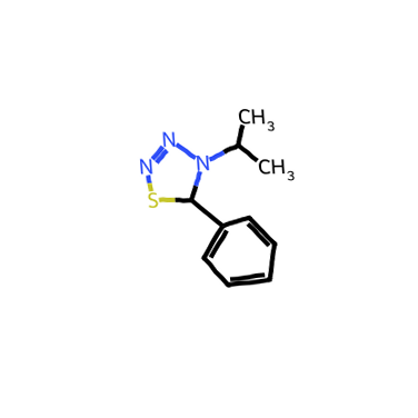 CC(C)N1N=NSC1c1ccccc1